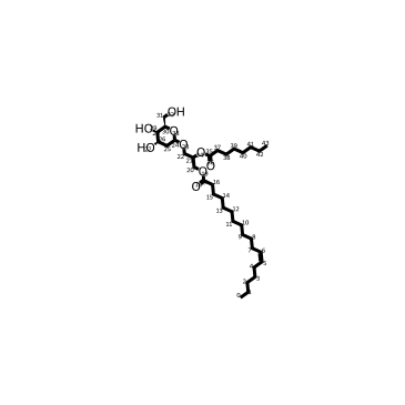 CCCCC/C=C\CCCCCCCCCCC(=O)OCC(COC1C[C@@H](O)[C@@H](O)[C@@H](CO)O1)OC(=O)CCCCCCC